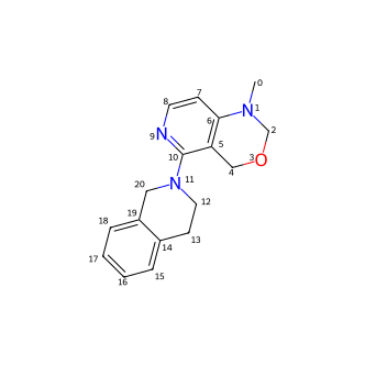 CN1COCc2c1ccnc2N1CCc2ccccc2C1